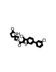 O=C1CCC2(CN(C(=O)c3sc4cc(-c5cccc(Cl)c5)ccc4c3Cl)C2)N1